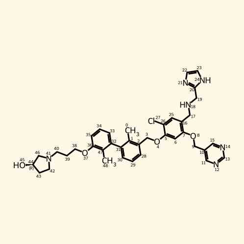 Cc1c(COc2cc(OCc3cncnc3)c(CNCc3ncc[nH]3)cc2Cl)cccc1-c1cccc(OCCCN2CC[C@@H](O)C2)c1C